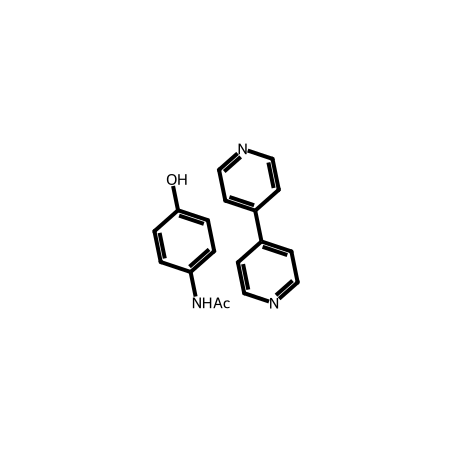 CC(=O)Nc1ccc(O)cc1.c1cc(-c2ccncc2)ccn1